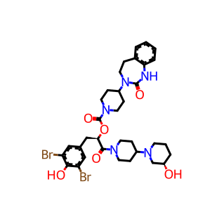 O=C(O[C@H](Cc1cc(Br)c(O)c(Br)c1)C(=O)N1CCC(N2CCC[C@@H](O)C2)CC1)N1CCC(N2CCc3ccccc3NC2=O)CC1